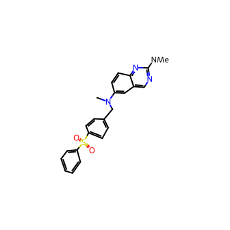 CNc1ncc2cc(N(C)Cc3ccc(S(=O)(=O)c4ccccc4)cc3)ccc2n1